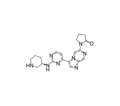 O=C1CCCN1c1cn2c(-c3ccnc(N[C@@H]4CCCNC4)n3)cnc2cn1